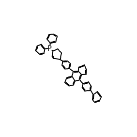 C1=CC(P(c2ccccc2)c2ccccc2)CCC1c1ccc(-c2c3ccccc3c(-c3ccc(-c4ccccc4)cc3)c3ccccc23)cc1